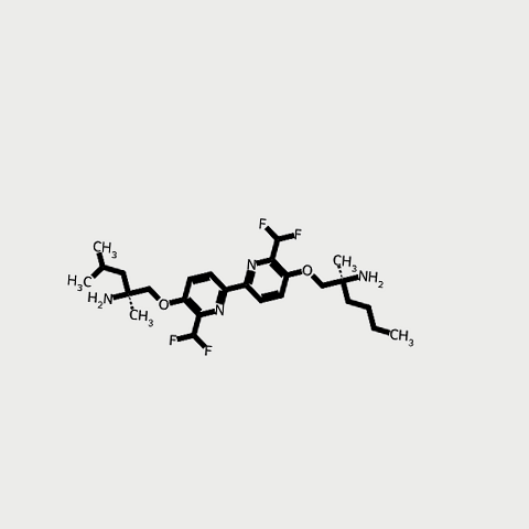 CCCC[C@](C)(N)COc1ccc(-c2ccc(OC[C@@](C)(N)CC(C)C)c(C(F)F)n2)nc1C(F)F